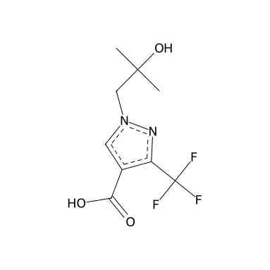 CC(C)(O)Cn1cc(C(=O)O)c(C(F)(F)F)n1